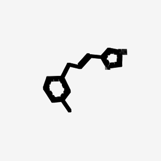 Cc1cccc(CC=Cc2c[nH]cn2)c1